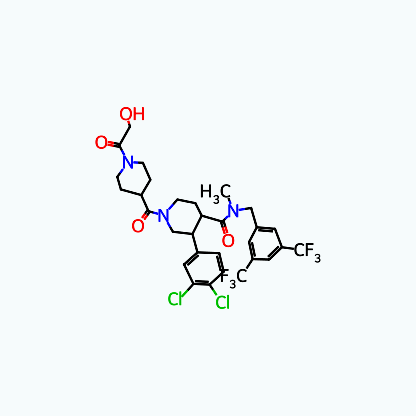 CN(Cc1cc(C(F)(F)F)cc(C(F)(F)F)c1)C(=O)C1CCN(C(=O)C2CCN(C(=O)CO)CC2)CC1c1ccc(Cl)c(Cl)c1